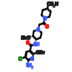 COc1nc(N)c(Cl)cc1C(=O)N[C@H]1CCN(CC(=O)N2CCC(C(=O)O)CC2)C[C@H]1OC